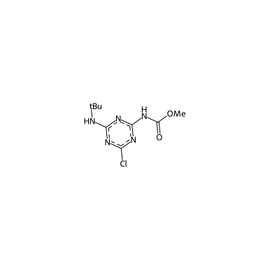 COC(=O)Nc1nc(Cl)nc(NC(C)(C)C)n1